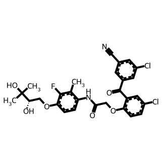 Cc1c(NC(=O)COc2ccc(Cl)cc2C(=O)c2cc(Cl)cc(C#N)c2)ccc(OC[C@H](O)C(C)(C)O)c1F